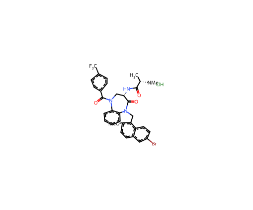 CN[C@@H](C)C(=O)N[C@H]1CN(C(=O)c2ccc(C(F)(F)F)cc2)c2ccccc2N(Cc2c(OC)ccc3cc(Br)ccc23)C1=O.Cl